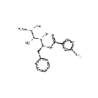 CCCC[C@@H](NC(C)=O)[C@@H](O)[C@H](O)[C@H](Cc1ccccc1)NC(=O)c1coc(N)n1